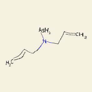 C=CCN([AsH2])CC=C